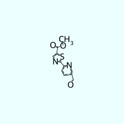 COC(=O)c1cnc(-c2ccc(C=O)cn2)s1